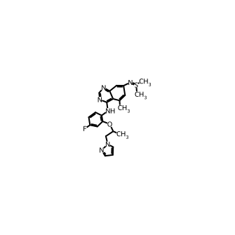 Cc1cc(N=S(C)C)cc2ncnc(Nc3ccc(F)cc3OC(C)Cn3cccn3)c12